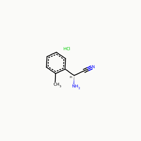 Cc1ccccc1[C@@H](N)C#N.Cl